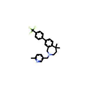 Cc1ccc(CN2CCC(C)(C)c3ccc(-c4ccc(C(F)(F)F)cc4)cc3C2)cn1